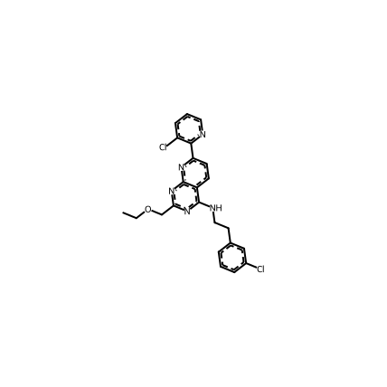 CCOCc1nc(NCCc2cccc(Cl)c2)c2ccc(-c3ncccc3Cl)nc2n1